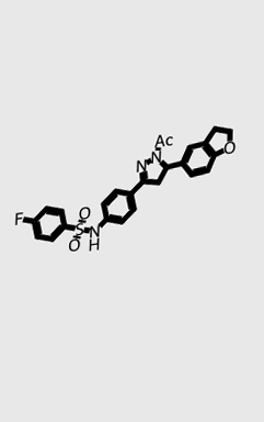 CC(=O)N1N=C(c2ccc(NS(=O)(=O)c3ccc(F)cc3)cc2)CC1c1ccc2c(c1)CCO2